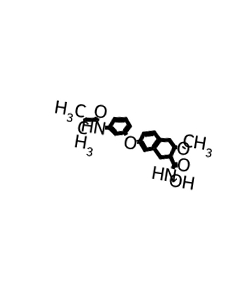 COC1Cc2ccc(Oc3cccc(NC(=O)C(C)C)c3)cc2CC1C(=O)NO